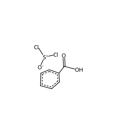 O=C(O)c1ccccc1.[O-][S+](Cl)Cl